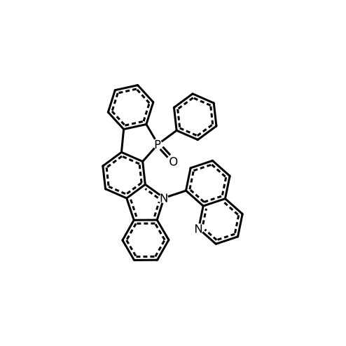 O=P1(c2ccccc2)c2ccccc2-c2ccc3c4ccccc4n(-c4cccc5cccnc45)c3c21